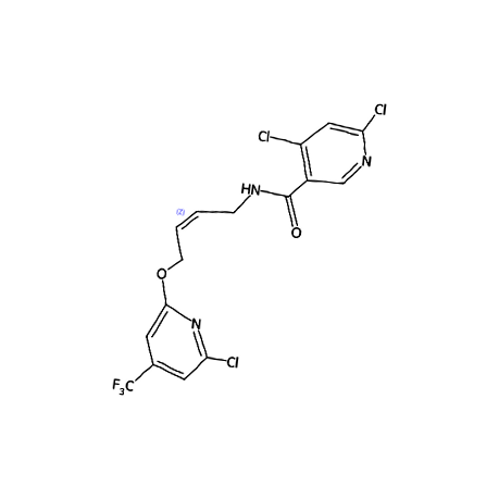 O=C(NC/C=C\COc1cc(C(F)(F)F)cc(Cl)n1)c1cnc(Cl)cc1Cl